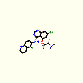 C[C@@H](Oc1cc(Br)cc2ncnc(Nc3ccc4ncccc4c3F)c12)[C@H](C)N(C)C